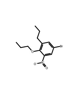 CCCOc1c(CCC)cc(Br)cc1[N+](=O)[O-]